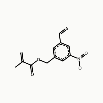 C=C(C)C(=O)OCc1cc(C=S)cc([N+](=O)[O-])c1